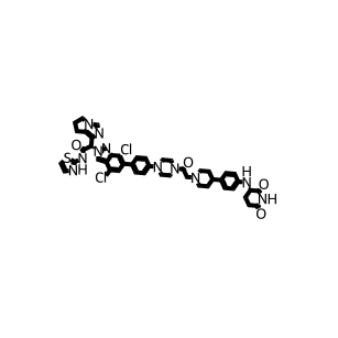 O=C1CC[C@@H](Nc2ccc(C3CCN(CC(=O)N4CCN(c5ccc(-c6cc(Cl)c7cn([C@@H](C(=O)Nc8nccs8)c8ncn9c8CCC9)nc7c6Cl)cc5)CC4)CC3)cc2)C(=O)N1